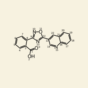 O=C(O)c1ccccc1-c1noc(-c2cnc3ccccc3c2)n1